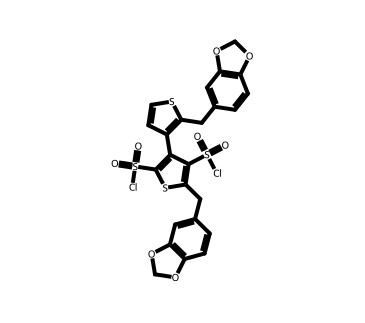 O=S(=O)(Cl)c1sc(Cc2ccc3c(c2)OCO3)c(S(=O)(=O)Cl)c1-c1ccsc1Cc1ccc2c(c1)OCO2